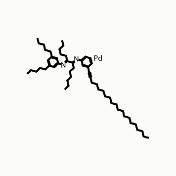 CCCCCCCCCCCCCCCCCCC#Cc1cccc(N=C(CCCCCC)C(CCCCC)=Nc2cc(CCCCC)cc(CCCCC)c2)c1.[Pd]